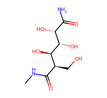 CNC(=O)[C@H](CO)[C@@H](O)[C@@H](O)[C@H](O)C(N)=O